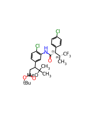 COC(C)(C)C(CC(=O)OC(C)(C)C)c1ccc(Cl)c(NC(=O)[C@H](c2ccc(Cl)cc2)[C@@H](C)C(F)(F)F)c1